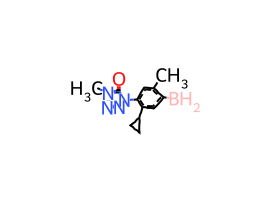 Bc1cc(C2CC2)c(-n2nnn(C)c2=O)cc1C